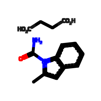 Cc1cc2ccccc2n1C(N)=O.O=C(O)CCC(=O)O